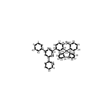 c1ccc(-c2cc(-c3ccccn3)nc(-c3ccc4c(c3)C3(c5ccccc5S4)c4ccccc4-c4ccccc43)n2)cc1